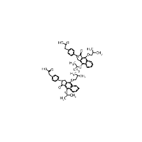 CC(C)COc1c2c(c(OC(C)C)c3ccccc13)C(=O)N(c1ccc(CC(=O)O)cc1)C2.CC(C)COc1c2c(c(OC(C)C)c3ccccc13)CN(c1ccc(CC(=O)O)cc1)C2=O